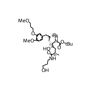 COCCCOc1cc(C[C@@H](C[C@H](NC(=O)OC(C)(C)C)[C@@H](O)C[C@@H](C)C(=O)NCCCO)C(C)C)ccc1OC